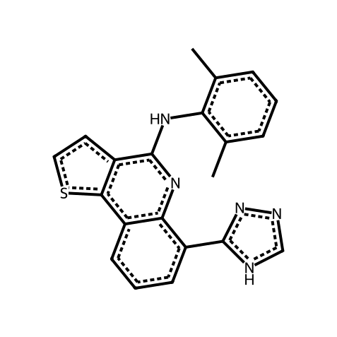 Cc1cccc(C)c1Nc1nc2c(-c3nnc[nH]3)cccc2c2sccc12